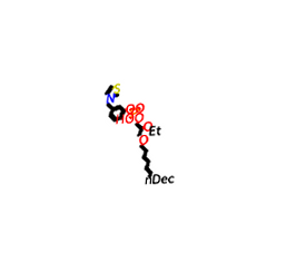 CCCCCCCCCCCCCCCCOCC(COP(=O)(O)Oc1cccc(CN2C=CSC2)c1)OCC